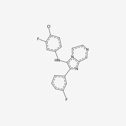 Fc1cccc(-c2nc3cnccn3c2Nc2ccc(Cl)c(F)c2)c1